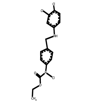 CCOC(=O)N(Cl)c1ccc(CNc2ccc(Cl)c(Cl)c2)cc1